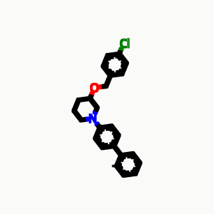 Clc1ccc(COC2CCCN(c3ccc(-c4[c]cccc4)cc3)C2)cc1